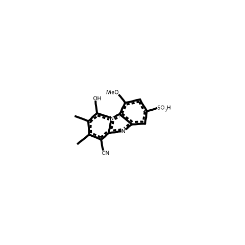 COc1cc(S(=O)(=O)O)cc2nc3c(C#N)c(C)c(C)c(O)n3c12